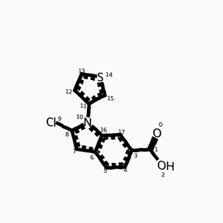 O=C(O)c1ccc2cc(Cl)n(-c3ccsc3)c2c1